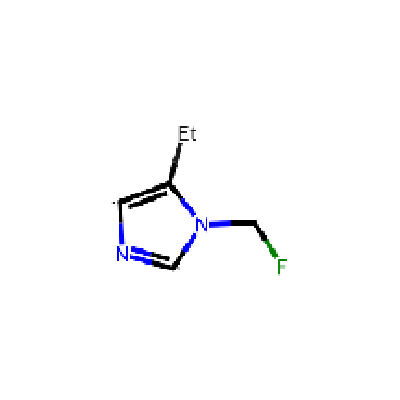 CCc1[c]n[c]n1CF